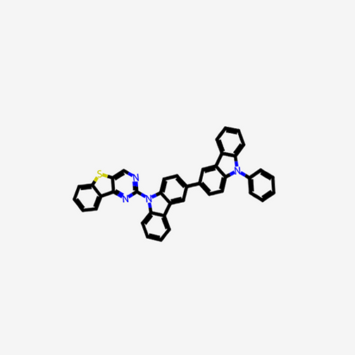 c1ccc(-n2c3ccccc3c3cc(-c4ccc5c(c4)c4ccccc4n5-c4ncc5sc6ccccc6c5n4)ccc32)cc1